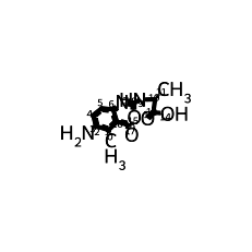 Cc1c(N)ccc2nc(N[C@@H](C)C(=O)O)oc(=O)c12